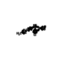 Cc1cnc(N2CC3(CC(c4nnc5n4-c4ccc(Cl)cc4CN(C4CS(=O)(=O)C4)C5)C3)C2)nc1